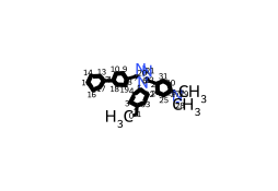 CCc1ccc(-n2c(-c3ccc(-c4ccccc4)cc3)nnc2-c2ccc(N(C)C)cc2)cc1